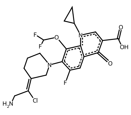 NC/C(Cl)=C1\CCCN(c2c(F)cc3c(=O)c(C(=O)O)cn(C4CC4)c3c2OC(F)F)C1